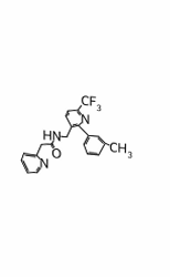 Cc1cccc(-c2nc(C(F)(F)F)ccc2CNC(=O)Cc2ccccn2)c1